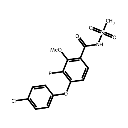 COc1c(C(=O)NS(C)(=O)=O)ccc(Oc2ccc(Cl)cc2)c1F